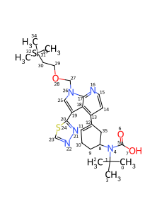 CC(C)(C)N(C(=O)O)C1CCC=C(c2ccnc3c2c(-c2nncs2)cn3COCC[Si](C)(C)C)C1